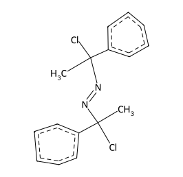 CC(Cl)(N=NC(C)(Cl)c1ccccc1)c1ccccc1